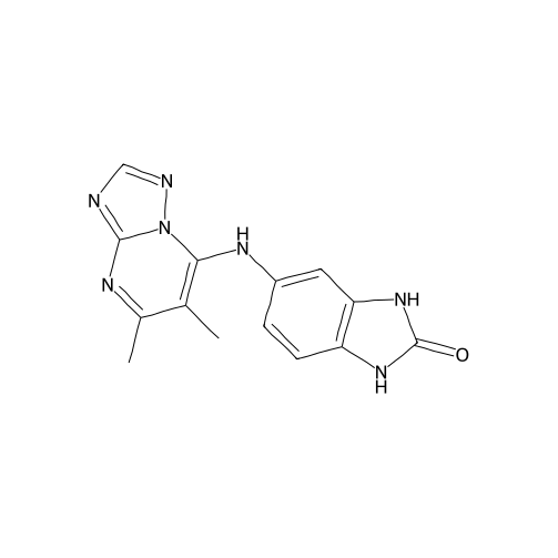 Cc1nc2ncnn2c(Nc2ccc3[nH]c(=O)[nH]c3c2)c1C